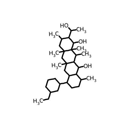 CCC1CCCC(C2CCC(C)C3C(O)C4C(C)C5(C)C(O)C(C(C)O)C(C)CC5(C)CC4(C)CC23)C1